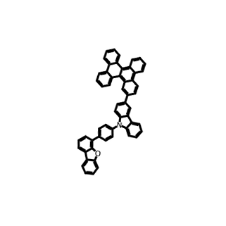 c1ccc2c(c1)oc1c(-c3ccc(-n4c5ccccc5c5cc(-c6ccc7c8ccccc8c8c9ccccc9c9ccccc9c8c7c6)ccc54)cc3)cccc12